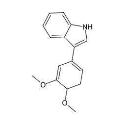 COC1=CC(c2c[nH]c3ccccc23)=CCC1OC